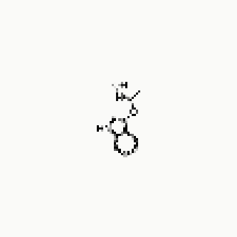 CC(=NO)Oc1c[nH]c2ccccc12